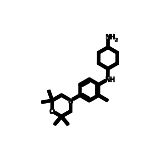 Cc1cc(N2CC(C)(C)OC(C)(C)C2)ccc1NC1CCC(N)CC1